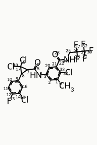 Cc1cc(NC(=O)C2C(c3ccc(F)c(Cl)c3)C2(Cl)Cl)cc(C(=O)NCC(F)(F)C(F)(F)F)c1Cl